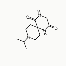 CC(C)N1CCC2(CC1)NC(=O)CNC2=O